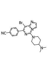 CN(C)C1CCN(c2nc(-c3ccc(C#N)cc3)c(Br)c3nccn23)CC1